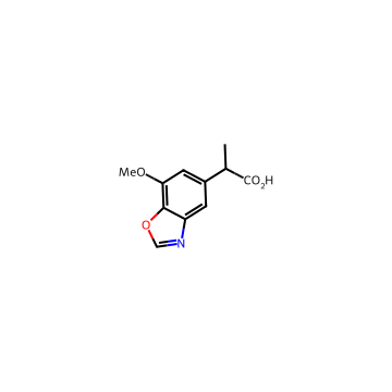 COc1cc(C(C)C(=O)O)cc2ncoc12